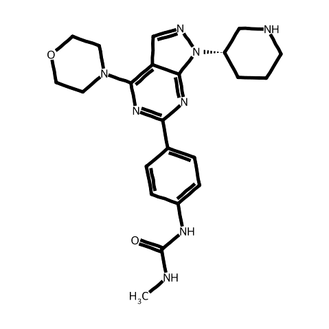 CNC(=O)Nc1ccc(-c2nc(N3CCOCC3)c3cnn([C@H]4CCCNC4)c3n2)cc1